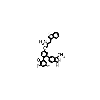 Cc1n[nH]c2ccc(-c3cc(OC[C@@H](N)Cc4csc5ccccc45)ccc3-c3cc(F)cc(F)c3O)cc12